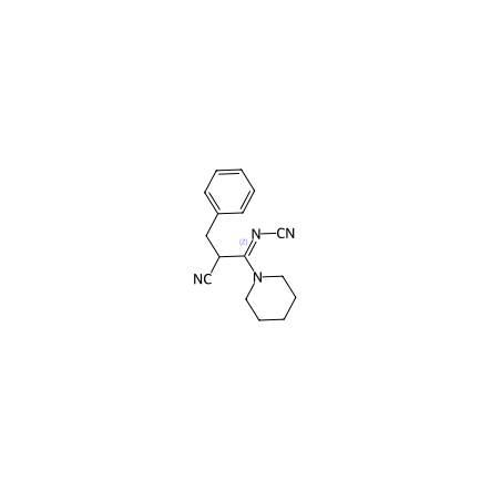 N#C/N=C(/C(C#N)Cc1ccccc1)N1CCCCC1